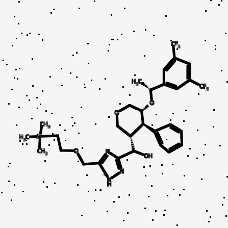 C[C@@H](O[C@H]1COC[C@@H](C(O)c2n[nH]c(COCC[Si](C)(C)C)n2)[C@@H]1c1ccccc1)c1cc(C(F)(F)F)cc(C(F)(F)F)c1